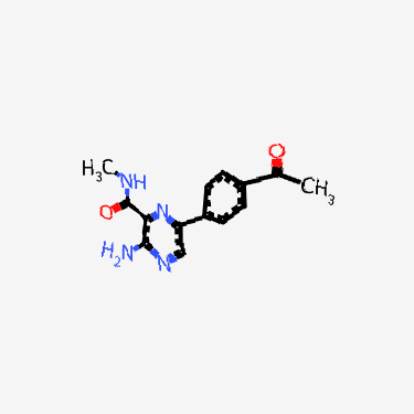 CNC(=O)c1nc(-c2ccc(C(C)=O)cc2)cnc1N